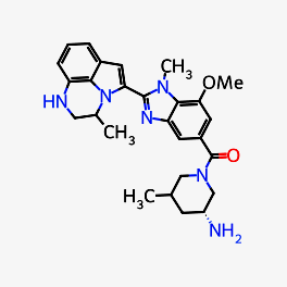 COc1cc(C(=O)N2CC(C)C[C@@H](N)C2)cc2nc(-c3cc4cccc5c4n3C(C)CN5)n(C)c12